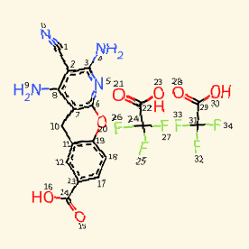 N#Cc1c(N)nc2c(c1N)Cc1cc(C(=O)O)ccc1O2.O=C(O)C(F)(F)F.O=C(O)C(F)(F)F